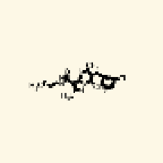 COCCNC(=O)c1c(C)nn2c(C)c(Cc3cccc(Cl)c3)c(C)nc12